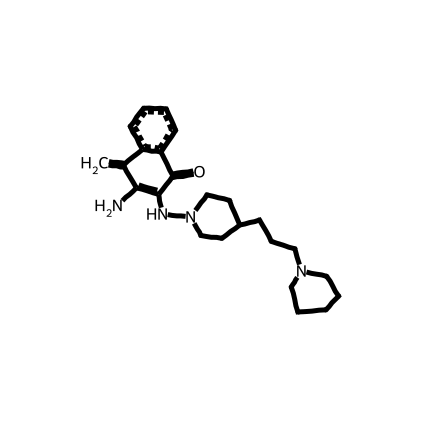 C=C1C(N)=C(NN2CCC(CCCN3CCCCC3)CC2)C(=O)c2ccccc21